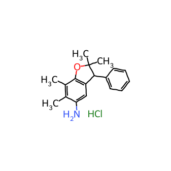 Cc1c(N)cc2c(c1C)OC(C)(C)C2c1ccccc1.Cl